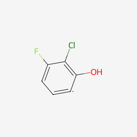 Oc1[c]ccc(F)c1Cl